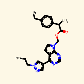 CC(C)Cc1ccc(C(C)C(=O)OCn2ccc3c(-c4cnn(CCC#N)c4)ncnc32)cc1